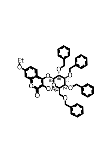 CCOc1ccc2c(O[C@@H]3O[C@H](COCc4ccccc4)[C@H](OCc4ccccc4)[C@H](OCc4ccccc4)[C@H]3OCc3ccccc3)c(OC(C)=O)c(=O)oc2c1